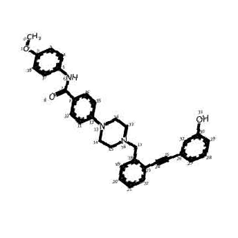 COc1ccc(NC(=O)c2ccc(N3CCN(Cc4ccccc4C#Cc4cccc(O)c4)CC3)cc2)cc1